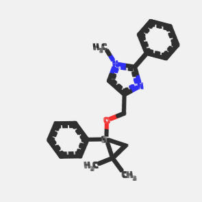 Cn1cc(CO[Si]2(c3ccccc3)CC2(C)C)nc1-c1ccccc1